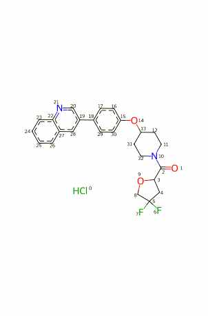 Cl.O=C(C1CC(F)(F)CO1)N1CCC(Oc2ccc(-c3cnc4ccccc4c3)cc2)CC1